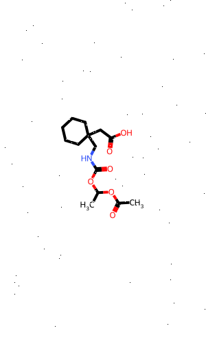 CC(=O)OC(C)OC(=O)NCC1(CC(=O)O)CCCCC1